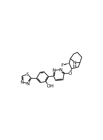 Oc1cc(-c2nncs2)ccc1-c1ccc(O[C@@H]2CC3CCCC(N3)[C@@H]2F)nn1